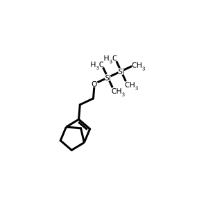 C[Si](C)(C)[Si](C)(C)OCCC1=CC2CCC1C2